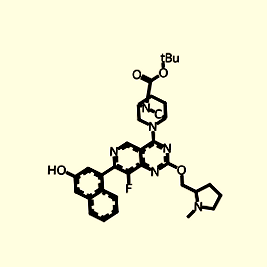 CN1CCCC1COc1nc(N2CC3CCC2CN3C(=O)OC(C)(C)C)c2cnc(-c3cc(O)cc4ccccc34)c(F)c2n1